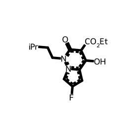 CCOC(=O)c1c(O)c2cc(F)cn2n(CCC(C)C)c1=O